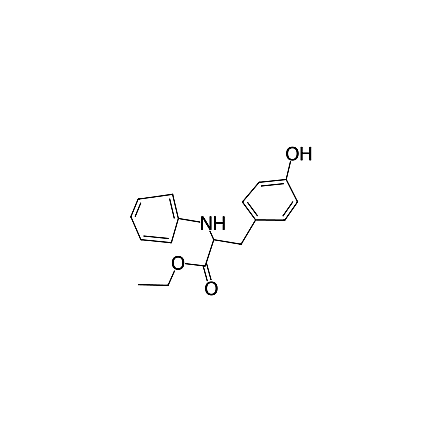 CCOC(=O)C(Cc1ccc(O)cc1)Nc1ccccc1